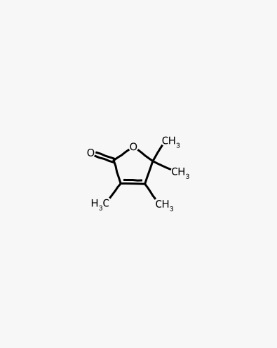 CC1=C(C)C(C)(C)OC1=O